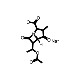 CC(=O)OC(C)C1C(=O)N2C(C(=O)[O-])C(C)C(=O)[C@H]12.[Na+]